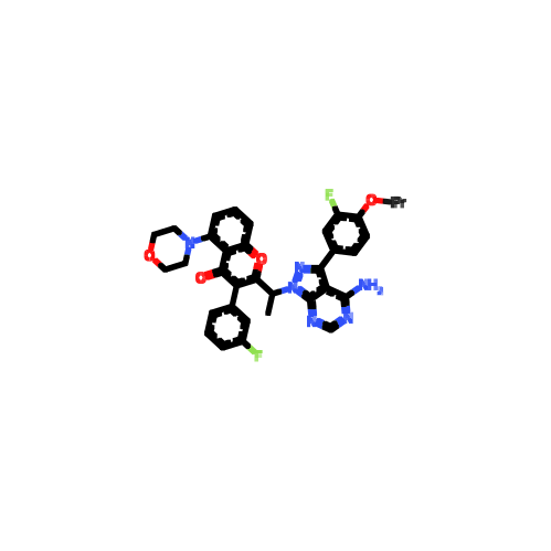 CC(C)Oc1ccc(-c2nn(C(C)c3oc4cccc(N5CCOCC5)c4c(=O)c3-c3cccc(F)c3)c3ncnc(N)c23)cc1F